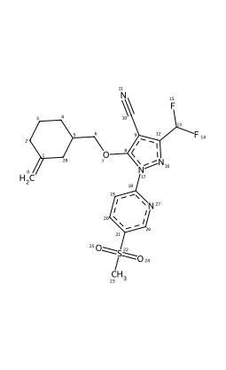 C=C1CCCC(COc2c(C#N)c(C(F)F)nn2-c2ccc(S(C)(=O)=O)cn2)C1